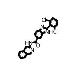 O=C(Nc1cc2ccccc2cn1)c1ccc2nc(-c3c(Cl)cccc3Cl)[nH]c2c1